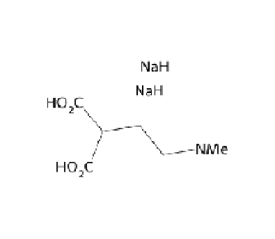 CNCCC(C(=O)O)C(=O)O.[NaH].[NaH]